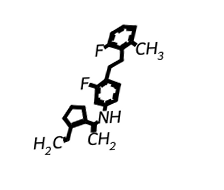 C=CC1=C(C(=C)Nc2ccc(CCc3c(C)cccc3F)c(F)c2)CCC1